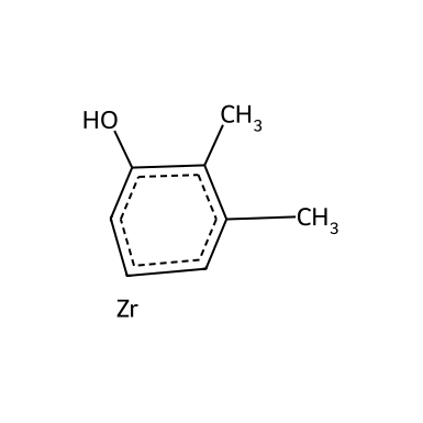 Cc1cccc(O)c1C.[Zr]